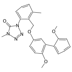 COc1ccccc1-c1cc(OCc2c(C)cccc2-n2nnn(C)c2=O)ccc1OC